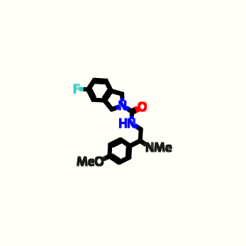 CNC(CNC(=O)N1Cc2ccc(F)cc2C1)c1ccc(OC)cc1